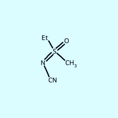 CCS(C)(=O)=NC#N